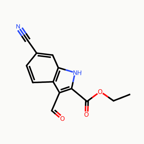 CCOC(=O)c1[nH]c2cc(C#N)ccc2c1C=O